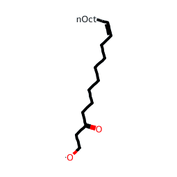 CCCCCCCC/C=C\CCCCCCCC(=O)CC[O]